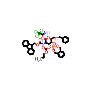 C=CCOC(=O)O[C@@H]1C(NC(=O)OCC2c3ccccc3-c3ccccc32)C(OC(=N)C(Cl)(Cl)Cl)OC(COCc2ccccc2)[C@H]1OP1(=O)OCc2ccccc2CO1